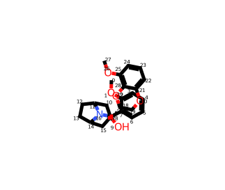 COc1ccccc1C1(O)CC2CCC(C1)N2C[C@H]1COc2cccc(OC)c2O1